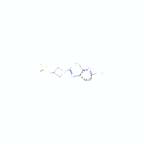 COc1ccc(/N=C(\SC)N2CC(OS(C)(=O)=O)C2)c(C)n1